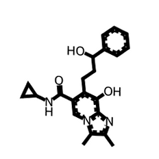 Cc1nc2c(O)c(CCC(O)c3ccccc3)c(C(=O)NC3CC3)cn2c1C